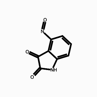 O=Nc1cccc2c1C(=O)C(=O)N2